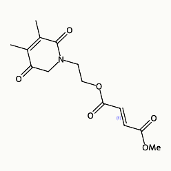 COC(=O)/C=C/C(=O)OCCN1CC(=O)C(C)=C(C)C1=O